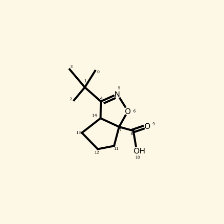 CC(C)(C)C1=NOC2(C(=O)O)CCCC12